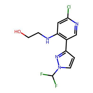 OCCNc1cc(Cl)ncc1-c1ccn(C(F)F)n1